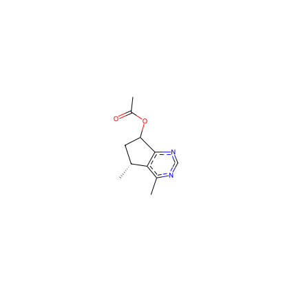 CC(=O)OC1C[C@@H](C)c2c(C)ncnc21